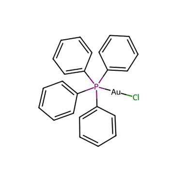 [Cl][Au][P](c1ccccc1)(c1ccccc1)(c1ccccc1)c1ccccc1